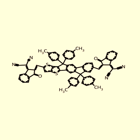 Cc1ccc(C2(c3ccc(C)cc3)c3cc(/C=C4\C(=O)c5ccccc5C4=C(C#N)C#N)ccc3-c3cc4c(cc32)-c2sc3cc(/C=C5\C(=O)c6ccccc6C5=C(C#N)C#N)sc3c2C4(c2ccc(C)cc2)c2ccc(C)cc2)cc1